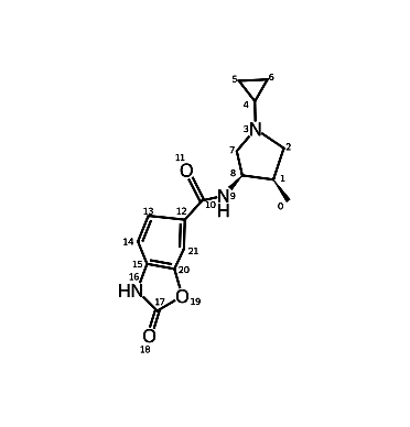 C[C@@H]1CN(C2CC2)C[C@@H]1NC(=O)c1ccc2[nH]c(=O)oc2c1